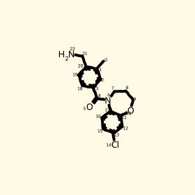 Cc1cc(C(=O)N2CCCOc3cc(Cl)ccc32)ccc1CN